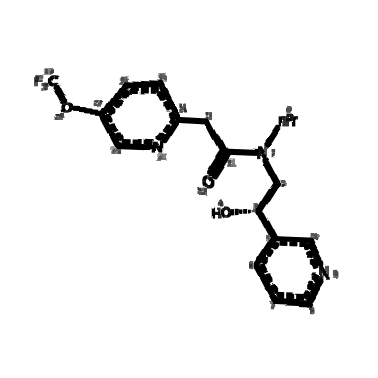 CCCN(C[C@@H](O)c1cccnc1)C(=O)Cc1ccc(OC(F)(F)F)cn1